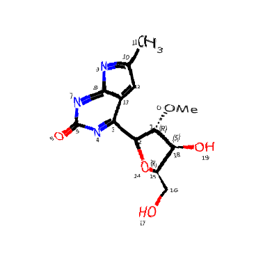 CO[C@H]1C(C2=NC(=O)N=C3N=C(C)C=C32)O[C@H](CO)[C@@H]1O